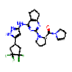 O=C([C@H]1CCCN1c1nc2c(c(Nc3cc(C4CC(F)(F)C(F)(F)C4)[nH]n3)n1)CCC2)N1CCCC1